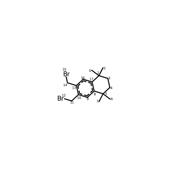 CC1(C)CCC(C)(C)c2cc(CBr)c(CBr)cc21